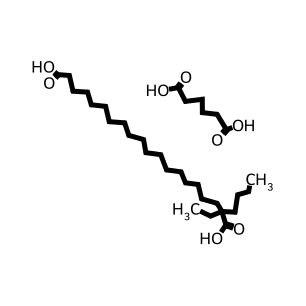 CCCCC(CC)(CCCCCCCCCCCCCCCCCC(=O)O)C(=O)O.O=C(O)CCCCC(=O)O